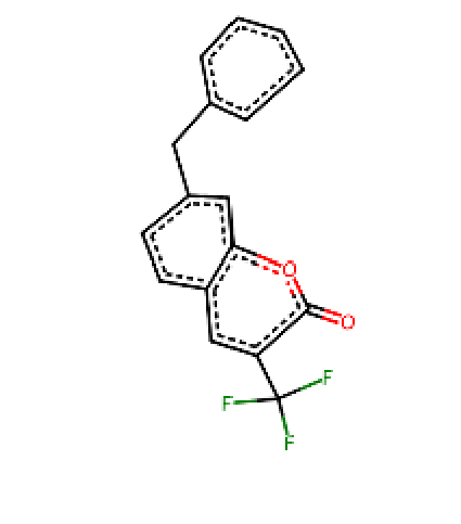 O=c1oc2cc(Cc3ccccc3)ccc2cc1C(F)(F)F